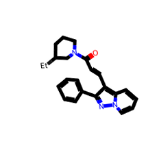 CCC1CCCN(C(=O)C=Cc2c(-c3ccccc3)nn3ccccc23)C1